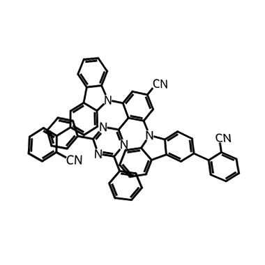 N#Cc1cc(-n2c3ccccc3c3cc(-c4ccccc4C#N)ccc32)c(-c2nc(-c3ccccc3)nc(-c3ccccc3)n2)c(-n2c3ccccc3c3cc(-c4ccccc4C#N)ccc32)c1